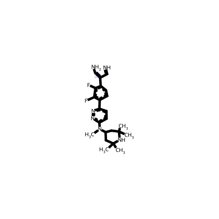 CN(c1ccc(-c2ccc(/C(C=N)=C/N)c(F)c2F)nn1)C1CC(C)(C)NC(C)(C)C1